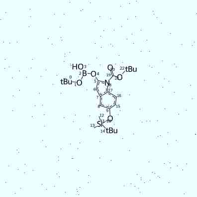 CC(C)(C)OB(O)Oc1cc2cc(O[Si](C)(C)C(C)(C)C)ccc2n1C(=O)OC(C)(C)C